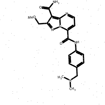 COCc1nn2c(C(=O)Nc3ccc(CN(C)C)cc3)ccnc2c1C(N)=O